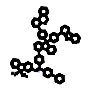 CC1(C)c2ccccc2-c2ccc(/C=C(/c3ccc(-c4ccccc4)cc3)c3ccc(-c4cccc5c4-c4ccccc4C5(c4ccc(-c5cccc6c5SCc5ccccc5-6)cc4)c4ccc(-c5cccc6c5sc5ccccc56)cc4)cc3)cc21